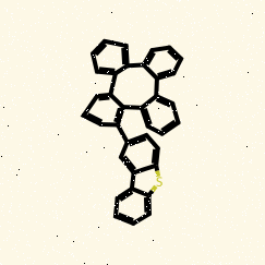 c1ccc2c(c1)-c1ccccc1-c1cccc(-c3ccc4sc5ccccc5c4c3)c1-c1ccccc1-2